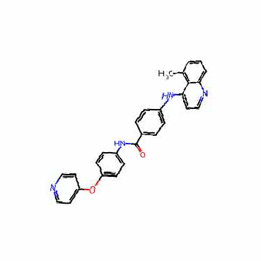 Cc1cccc2nccc(Nc3ccc(C(=O)Nc4ccc(Oc5ccncc5)cc4)cc3)c12